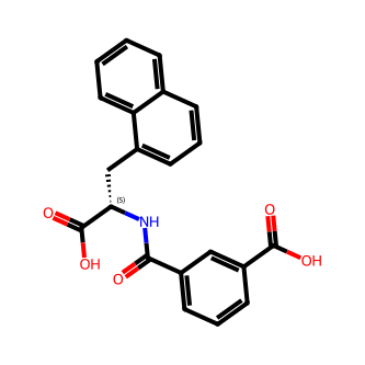 O=C(O)c1cccc(C(=O)N[C@@H](Cc2cccc3ccccc23)C(=O)O)c1